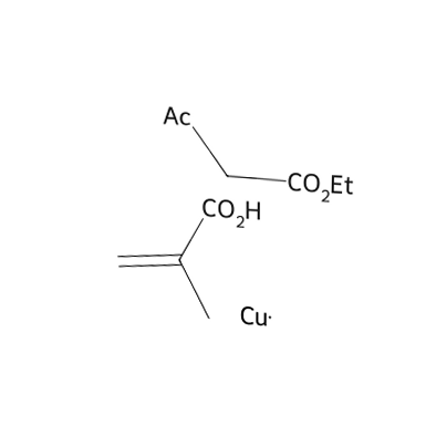 C=C(C)C(=O)O.CCOC(=O)CC(C)=O.[Cu]